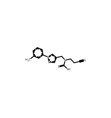 Cc1cccc(-n2cc(CN(CCC#N)C(=S)S)cn2)c1